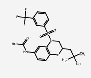 CC(C)(O)CC1CN(S(=O)(=O)c2cccc(C(F)(F)F)c2)c2cc(NC(=O)O)ccc2O1